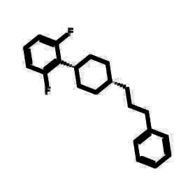 Fc1cccc(F)c1[C@H]1CC[C@@H](CCCc2ccccc2)CC1